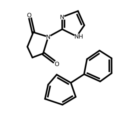 O=C1CCC(=O)N1c1ncc[nH]1.c1ccc(-c2ccccc2)cc1